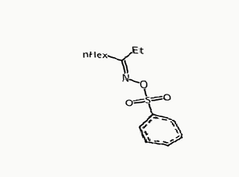 CCCCCC/C(CC)=N/OS(=O)(=O)c1ccccc1